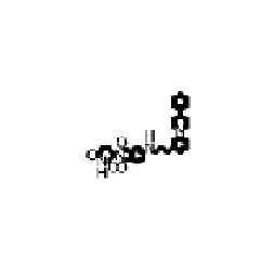 O=C1CCC(N2C(=O)c3ccc(NCCCc4cccc(N5CCC(c6ccccc6)CC5)c4)cc3C2=O)C(=O)N1